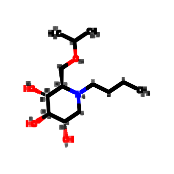 CCCCN1C[C@H](O)[C@@H](O)[C@H](O)[C@H]1COC(C)C